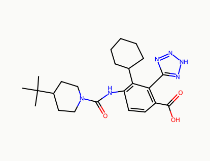 CC(C)(C)C1CCN(C(=O)Nc2ccc(C(=O)O)c(-c3nn[nH]n3)c2C2CCCCC2)CC1